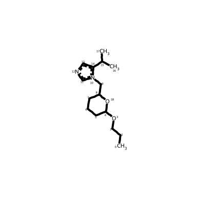 CCCOC1CCCC(Cn2cncc2C(C)C)O1